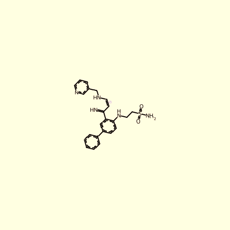 N=C(/C=C\NCc1cccnc1)c1cc(-c2ccccc2)ccc1NCCS(N)(=O)=O